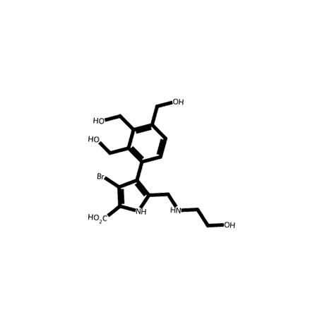 O=C(O)c1[nH]c(CNCCO)c(-c2ccc(CO)c(CO)c2CO)c1Br